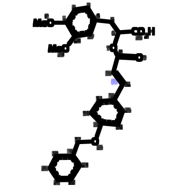 COc1ccc(CC(OC(=O)/C=C/c2ccc(OCc3ccccc3)cc2)C(=O)O)cc1OC